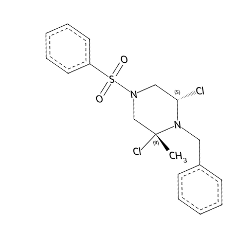 C[C@@]1(Cl)CN(S(=O)(=O)c2ccccc2)C[C@H](Cl)N1Cc1ccccc1